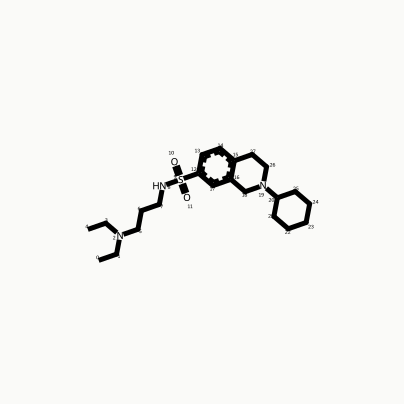 CCN(CC)CCCNS(=O)(=O)c1ccc2c(c1)CN(C1CCCCC1)CC2